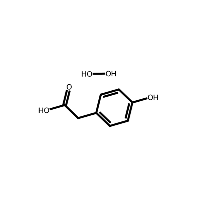 O=C(O)Cc1ccc(O)cc1.OO